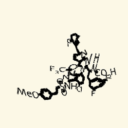 COc1ccc(CCS(=O)(=O)Nc2nn(CC(F)(F)F)c3c(-n4c(C(Cc5cc(F)cc(F)c5)NC(=O)O)nc5nc(-c6ccccc6F)ccc5c4=O)ccc(Cl)c23)cc1